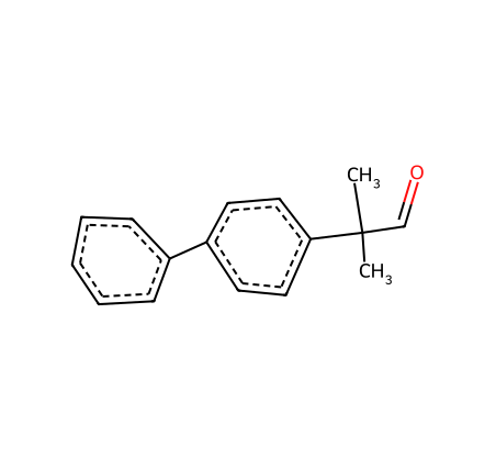 CC(C)(C=O)c1ccc(-c2ccccc2)cc1